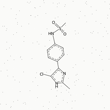 Cc1nc(-c2ccc(NS(C)(=O)=O)cc2)c(Cl)[nH]1